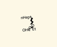 CCCCCCCCCCCOC(CC)O[C]=O